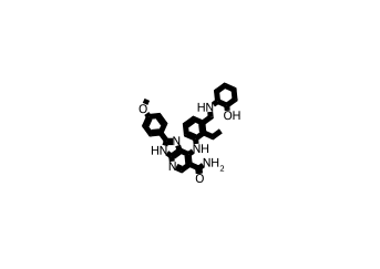 CCc1c(CNC2CCCCC2O)cccc1Nc1c(C(N)=O)cnc2[nH]c(-c3ccc(OC)cc3)nc12